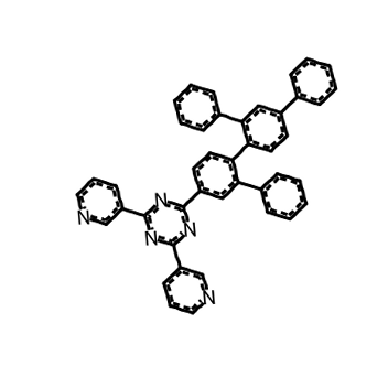 c1ccc(-c2ccc(-c3ccc(-c4nc(-c5cccnc5)nc(-c5cccnc5)n4)cc3-c3ccccc3)c(-c3ccccc3)c2)cc1